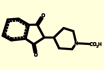 O=C1c2ccccc2C(=O)C1C1CCN(C(=O)O)CC1